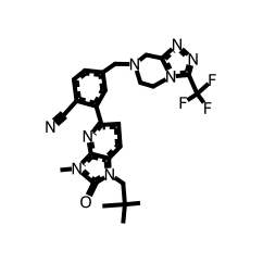 Cn1c(=O)n(CC(C)(C)C)c2ccc(-c3cc(CN4CCn5c(nnc5C(F)(F)F)C4)ccc3C#N)nc21